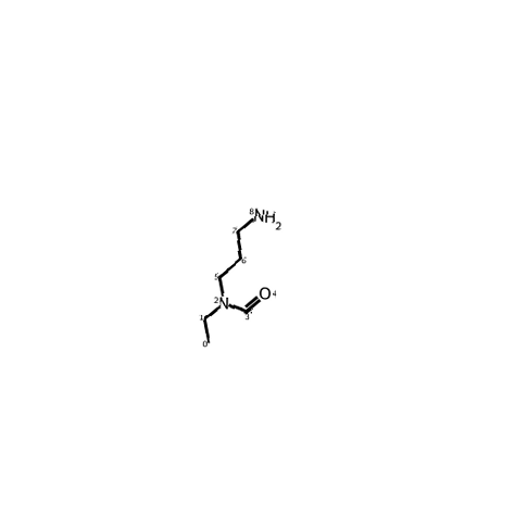 CCN([C]=O)CCCN